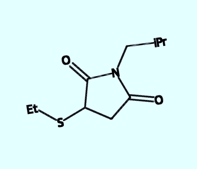 CCSC1CC(=O)N(CC(C)C)C1=O